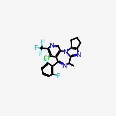 CC1N=C(c2c(F)cccc2F)c2c(cnc(C(F)(F)F)c2Cl)-n2c1nc1c2CCC1